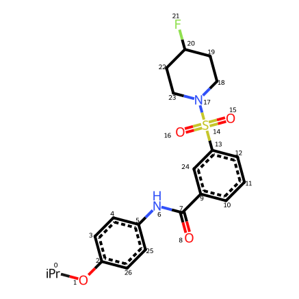 CC(C)Oc1ccc(NC(=O)c2cccc(S(=O)(=O)N3CCC(F)CC3)c2)cc1